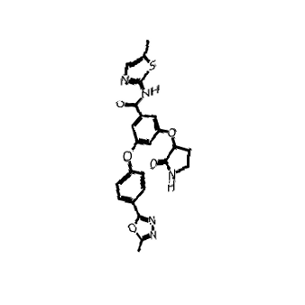 Cc1nnc(-c2ccc(Oc3cc(OC4CCNC4=O)cc(C(=O)Nc4ncc(C)s4)c3)cc2)o1